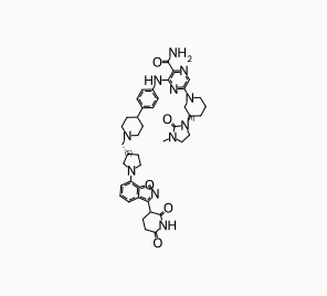 CN1CCN([C@@H]2CCCN(c3cnc(C(N)=O)c(Nc4ccc(C5CCN(C[C@@H]6CCN(c7cccc8c(C9CCC(=O)NC9=O)noc78)C6)CC5)cc4)n3)C2)C1=O